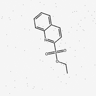 CCOS(=O)(=O)c1ccc2ccccc2n1